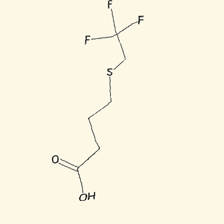 O=C(O)CCCSCC(F)(F)F